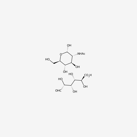 CC(=O)N[C@@H]1[C@@H](O)[C@H](O)[C@@H](CO)O[C@@H]1O.O=C[C@H](O)[C@@H](O)[C@H](O)[C@H](O)C(=O)O